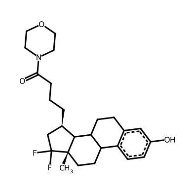 C[C@]12CCC3c4ccc(O)cc4CCC3C1[C@H](CCCC(=O)N1CCOCC1)CC2(F)F